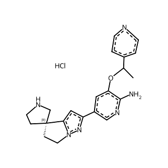 CC(Oc1cc(-c2cc3n(n2)CC[C@@]32CCNC2)cnc1N)c1ccncc1.Cl